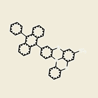 Cc1cc2c3c(c1)Oc1cc(-c4c5ccccc5c(-c5ccccc5)c5ccccc45)ccc1B3c1ccccc1O2